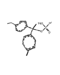 Cc1ccc(C(C)(OP(=O)(O)O)c2ccc(C)cc2)cc1